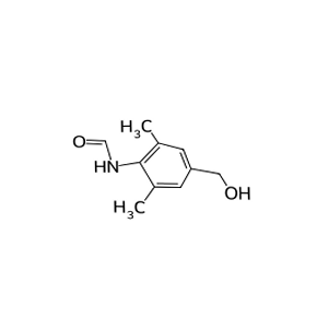 Cc1cc(CO)cc(C)c1NC=O